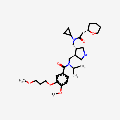 COCCCOc1cc(C(=O)N(C[C@@H]2CNC[C@H]2CN(C(=O)C[C@@H]2CCCCO2)C2CC2)C(C)C)ccc1OC